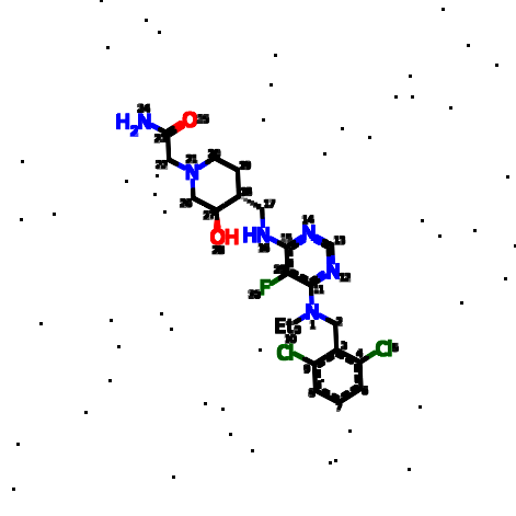 CCN(Cc1c(Cl)cccc1Cl)c1ncnc(NC[C@H]2CCN(CC(N)=O)C[C@@H]2O)c1F